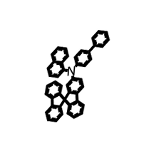 c1ccc(-c2ccc(N(c3ccc4c(c3)C3(c5ccccc5-c5ccccc53)c3ccccc3-4)c3cccc4ccccc34)cc2)cc1